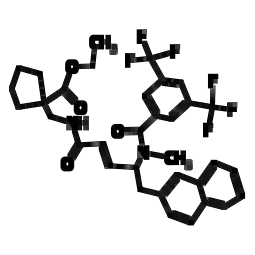 CCOC(=O)C1(CNC(=O)C=CC(Cc2ccc3ccccc3c2)N(C)C(=O)c2cc(C(F)(F)F)cc(C(F)(F)F)c2)CCCC1